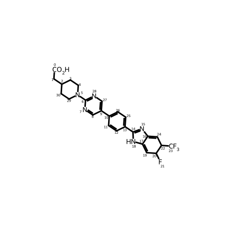 O=C(O)CC1CCN(c2ncc(-c3ccc(-c4nc5c([nH]4)=CC(F)C(C(F)(F)F)C=5)cc3)cn2)CC1